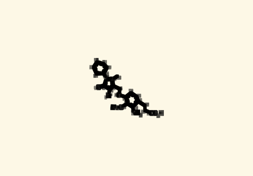 COc1c(OCc2c(Br)c(=O)n(-c3ccccc3)n2C)ccc(CCC(=O)O)c1N